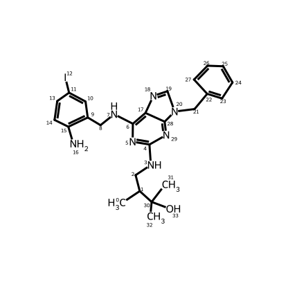 CC(CNc1nc(NCc2cc(I)ccc2N)c2ncn(Cc3ccccc3)c2n1)C(C)(C)O